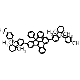 Cc1ccc(N2c3ccc(-c4ccc5c(c4)C(c4ccccc4)(c4ccccc4)c4c-5c5ccccc5c5cc(-c6ccc7c(c6)C6(C)CCCCC6(C)N7c6ccc(C)cc6)ccc45)cc3C3(C)CCCCC23C)cc1